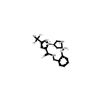 COc1ccccc1CNC(=O)c1cc(C(F)(F)F)nn1[C@@H]1CCNC1